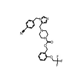 N#Cc1ccc(Cn2cncc2CN2CCN(C(=O)OCc3ccccc3OCC(F)(F)F)CC2)cc1